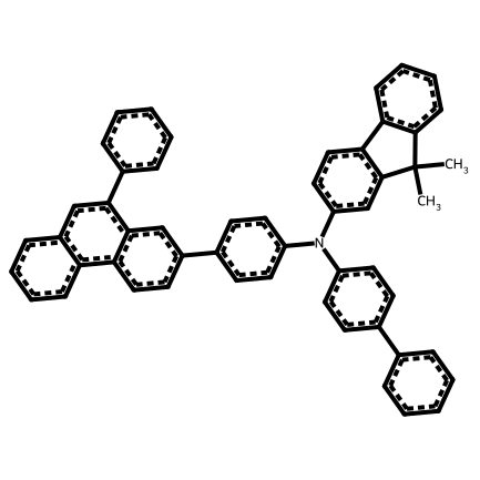 CC1(C)c2ccccc2-c2ccc(N(c3ccc(-c4ccccc4)cc3)c3ccc(-c4ccc5c(c4)c(-c4ccccc4)cc4ccccc45)cc3)cc21